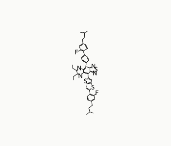 CCc1nc2c(-c3ccc(-c4ccc(CCC(C)C)cc4F)cc3)c3nsnc3c(-c3cc4sc(-c5ccc(CCC(C)C)cc5F)cc4s3)c2nc1CC